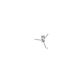 [CH][SiH](C)C